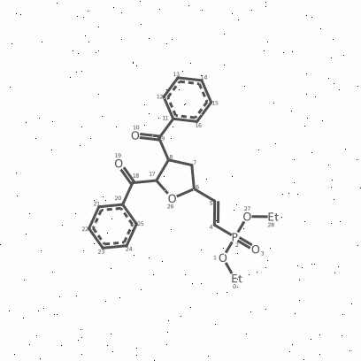 CCOP(=O)(C=CC1CC(C(=O)c2ccccc2)C(C(=O)c2ccccc2)O1)OCC